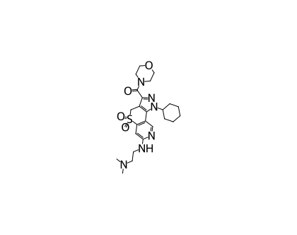 CN(C)CCNc1cc2c(cn1)-c1c(c(C(=O)N3CCOCC3)nn1C1CCCCC1)CS2(=O)=O